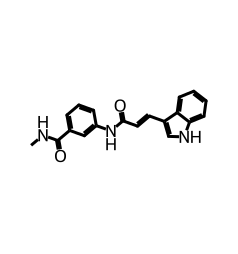 CNC(=O)c1cccc(NC(=O)C=Cc2c[nH]c3ccccc23)c1